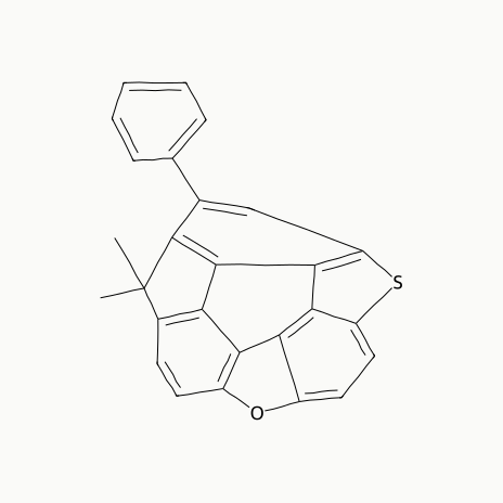 CC1(C)c2ccc3oc4ccc5sc6cc(-c7ccccc7)c1c1c2c3c4c5c61